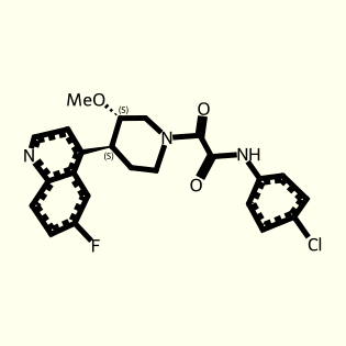 CO[C@@H]1CN(C(=O)C(=O)Nc2ccc(Cl)cc2)CC[C@H]1c1ccnc2ccc(F)cc12